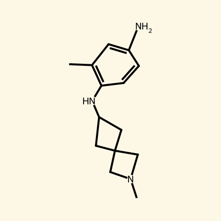 Cc1cc(N)ccc1NC1CC2(C1)CN(C)C2